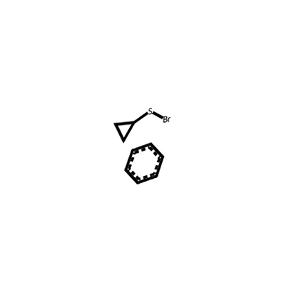 BrSC1CC1.c1ccccc1